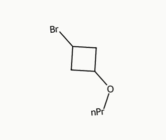 [CH2]CCOC1CC(Br)C1